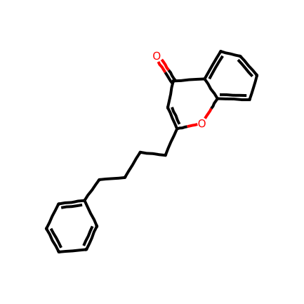 O=c1cc(CCCCc2ccccc2)oc2ccccc12